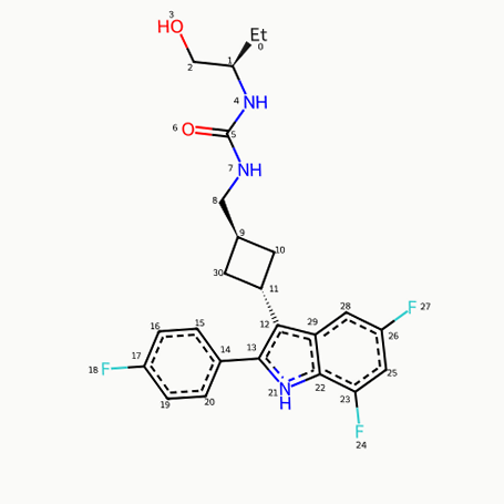 CC[C@H](CO)NC(=O)NC[C@H]1C[C@H](c2c(-c3ccc(F)cc3)[nH]c3c(F)cc(F)cc32)C1